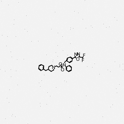 O=S(=O)(CCN1CCC(Cc2ccccc2)CC1)N(Cc1ccc(-c2nnc(C(F)F)o2)cc1)c1ccccc1